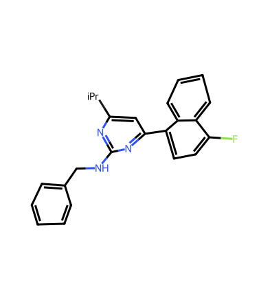 CC(C)c1cc(-c2ccc(F)c3ccccc23)nc(NCc2ccccc2)n1